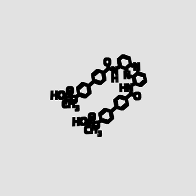 CP(=O)(O)Oc1ccc(-c2ccc(C(=O)Nc3cccc4nc5cccc(NC(=O)c6ccc(-c7ccc(OP(C)(=O)O)cc7)cc6)c5nc34)cc2)cc1